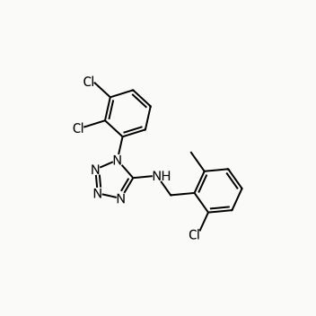 Cc1cccc(Cl)c1CNc1nnnn1-c1cccc(Cl)c1Cl